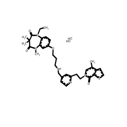 CCN1C(=O)C(C)(C)C(=O)N(C)c2cc(OCCCNCc3ccnc(CCn4cc(C)c5ccsc5c4=O)c3)ccc21.Cl.Cl